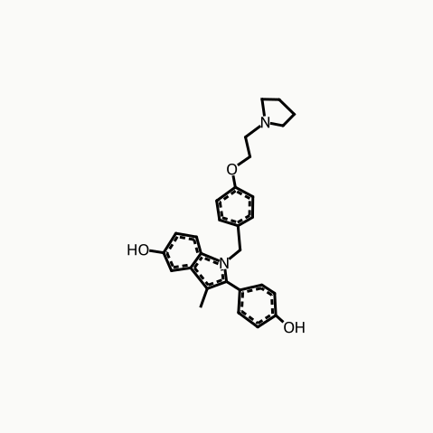 Cc1c(-c2ccc(O)cc2)n(Cc2ccc(OCCN3CCCC3)cc2)c2ccc(O)cc12